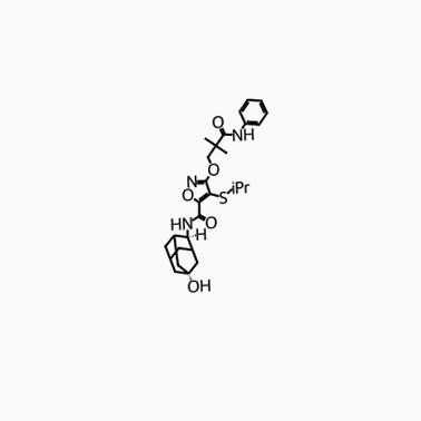 CC(C)Sc1c(OCC(C)(C)C(=O)Nc2ccccc2)noc1C(=O)N[C@H]1C2CC3CC1C[C@](O)(C3)C2